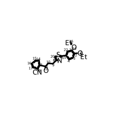 CCOc1ccc(-c2nc(CCC(=O)c3ccccc3C#N)cs2)cc1OCC